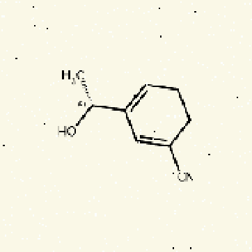 C[C@@H](O)C1=CCCC(C#N)=C1